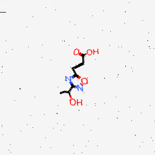 CC(O)c1noc(C=CC(=O)O)n1